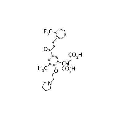 Cc1cc(C(=O)C=Cc2ccccc2C(F)(F)F)cc(C)c1OCCN1CCCC1.O=C(O)/C=C/C(=O)O